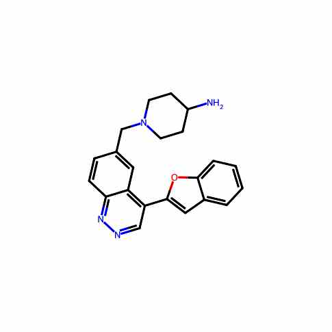 NC1CCN(Cc2ccc3nncc(-c4cc5ccccc5o4)c3c2)CC1